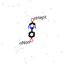 CCCCCCCCCOc1ccc(-c2ncc(OCCCCCCC)cn2)cc1